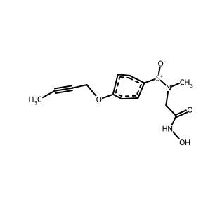 CC#CCOc1ccc([S+]([O-])N(C)CC(=O)NO)cc1